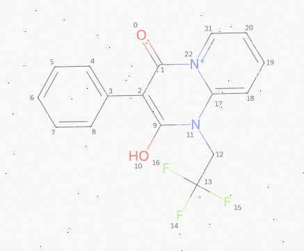 O=c1c(-c2ccccc2)c(O)n(CC(F)(F)F)c2cccc[n+]12